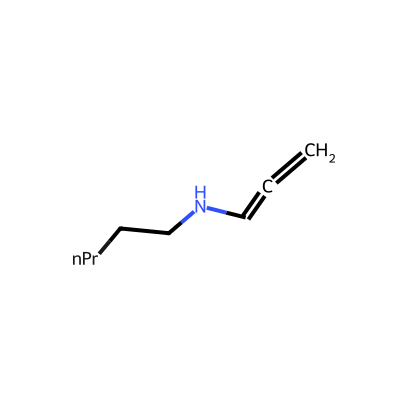 C=C=CNCCCCC